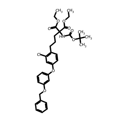 CCOC(=O)C(CCCc1ccc(Oc2cccc(OCc3ccccc3)c2)cc1Cl)(NC(=O)OC(C)(C)C)C(=O)OCC